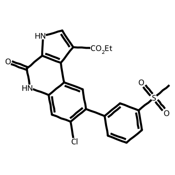 CCOC(=O)c1c[nH]c2c(=O)[nH]c3cc(Cl)c(-c4cccc(S(C)(=O)=O)c4)cc3c12